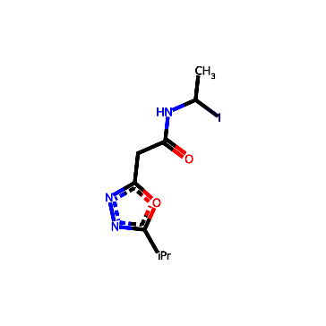 CC(I)NC(=O)Cc1nnc(C(C)C)o1